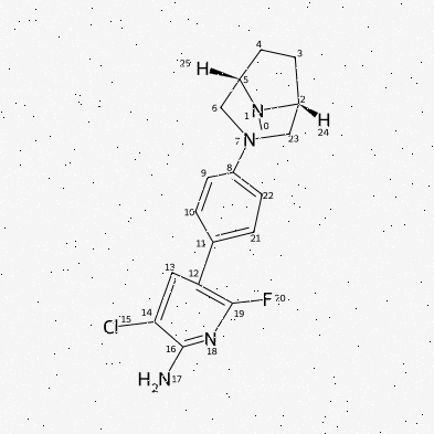 CN1[C@@H]2CC[C@H]1CN(c1ccc(-c3cc(Cl)c(N)nc3F)cc1)C2